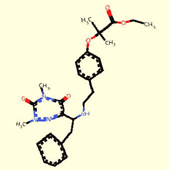 CCOC(=O)C(C)(C)Oc1ccc(CCNC(Cc2ccccc2)c2nn(C)c(=O)n(C)c2=O)cc1